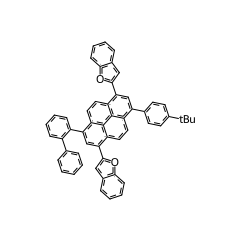 CC(C)(C)c1ccc(-c2cc(-c3cc4ccccc4o3)c3ccc4c(-c5ccccc5-c5ccccc5)cc(-c5cc6ccccc6o5)c5ccc2c3c54)cc1